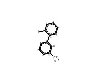 Cc1ccccc1-c1cccc(C(F)(F)F)c1